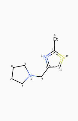 CCc1nc(CN2CCCC2)cs1